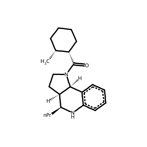 CCC[C@@H]1Nc2ccccc2[C@H]2[C@@H]1CCN2C(=O)[C@H]1CCCC[C@H]1C